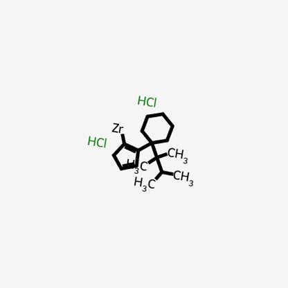 CC(C)C(C)(C)C1(C2=[C]([Zr])CC=C2)CCCCC1.Cl.Cl